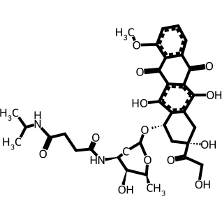 COc1cccc2c1C(=O)c1c(O)c3c(c(O)c1C2=O)C[C@@](O)(C(=O)CO)C[C@@H]3OC1C[C@H](NC(=O)CCC(=O)NC(C)C)[C@H](O)[C@H](C)O1